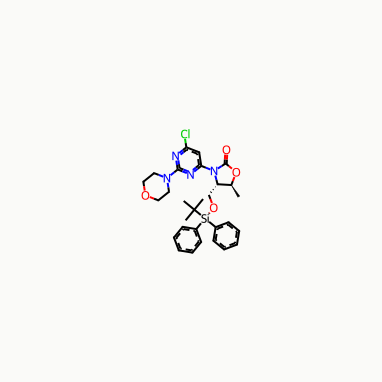 C[C@@H]1OC(=O)N(c2cc(Cl)nc(N3CCOCC3)n2)[C@H]1CO[Si](c1ccccc1)(c1ccccc1)C(C)(C)C